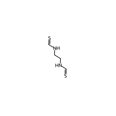 S=CNCCNC=S